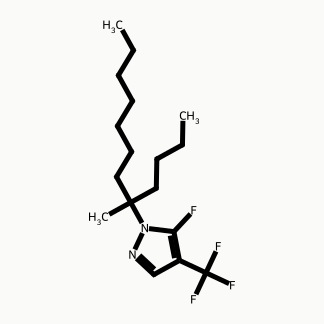 CCCCCCCC(C)(CCCC)n1ncc(C(F)(F)F)c1F